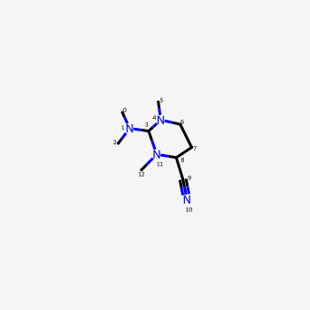 CN(C)C1N(C)CCC(C#N)N1C